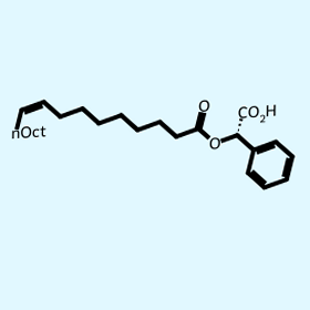 CCCCCCCC/C=C\CCCCCCCC(=O)O[C@H](C(=O)O)c1ccccc1